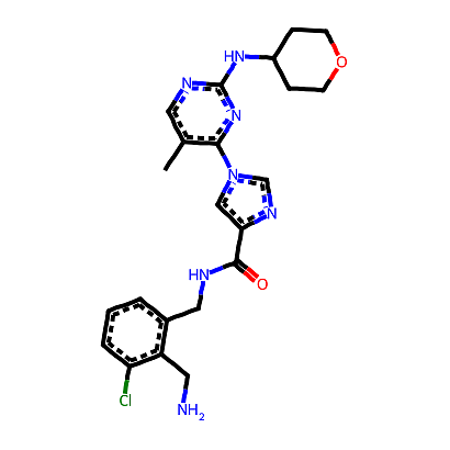 Cc1cnc(NC2CCOCC2)nc1-n1cnc(C(=O)NCc2cccc(Cl)c2CN)c1